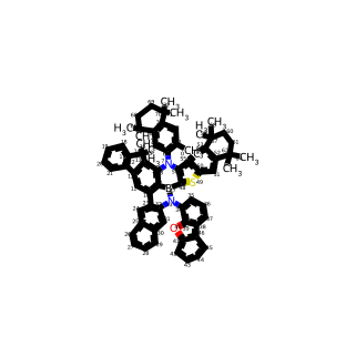 Cc1cc2c(cc1N1c3c4c(cc5c3C(C)(C)c3ccccc3-5)-c3cc5ccccc5cc3N(c3cccc5c3oc3ccccc35)B4c3sc4cc5c(cc4c31)C(C)(C)CCC5(C)C)C(C)(C)CCC2(C)C